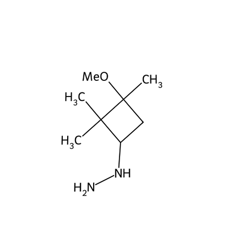 COC1(C)CC(NN)C1(C)C